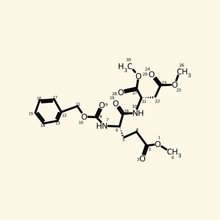 COC(=O)CC[C@H](NC(=O)OCc1ccccc1)C(=O)N[C@@H](CC(=O)OC)C(=O)OC